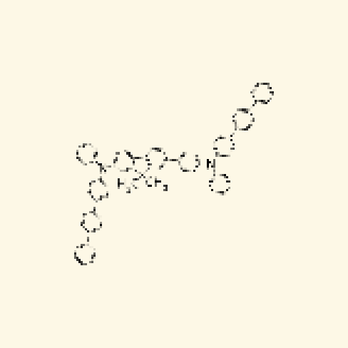 CC1(C)c2cc(-c3ccc(N(c4ccccc4)c4ccc(-c5ccc(-c6ccccc6)cc5)cc4)cc3)ccc2-c2ccc(N(c3ccccc3)c3ccc(-c4ccc(-c5ccccc5)cc4)cc3)cc21